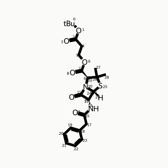 CC(C)(C)OC(=O)CCOC(=O)[C@@H]1N2C(=O)[C@@H](NC(=O)Cc3ccccc3)[C@H]2SC1(C)C